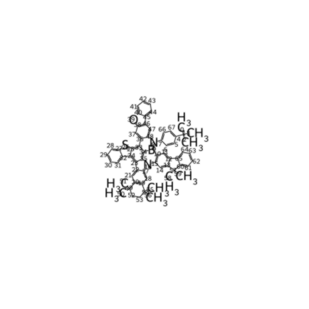 CC(C)(C)c1ccc(N2B3c4cc5c(cc4-n4c6cc7c(cc6c6c8c(sc9ccccc98)c(c3c64)-c3cc4oc6ccccc6c4cc32)C(C)(C)CCC7(C)C)C(C)(C)c2ccccc2-5)cc1